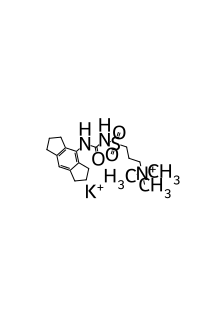 C[N+](C)(C)CCCS(=O)(=O)NC(=O)Nc1c2c(cc3c1CCC3)CCC2.[K+]